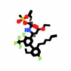 C=CCCCCc1cc(F)cc(CC)c1-c1cc([C@H](CC(=O)OCC)NC(=O)[C@@H](CC=C)OS(C)(=O)=O)c(F)c(C(F)(F)F)c1